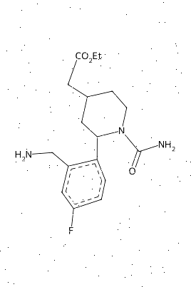 CCOC(=O)CC1CCN(C(N)=O)C(c2ccc(F)cc2CN)C1